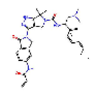 C=CC(=O)Nc1ccc2c(c1)CN(c1n[nH]c3c1CN(C(=O)N[C@H](CN(C)C)C(=C)/C=C\C=C/C)C3(C)C)C2=O